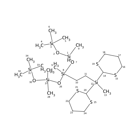 C[SiH](O[Si](C)(C)C)O[Si](C)(CC[Si](C)(C1SCCCS1)C1SCCCS1)O[Si](C)(C)O[Si](C)(C)C